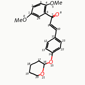 COc1ccc(OC)c(C(=O)C=Cc2ccc(OC3CCCCO3)cc2)c1